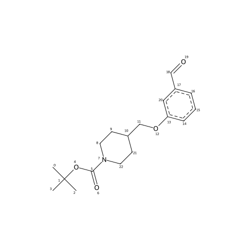 CC(C)(C)OC(=O)N1CCC(COc2cccc(C=O)c2)CC1